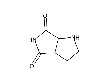 O=C1NC(=O)C2NCCC12